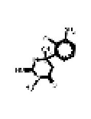 CN1C(=N)N[C@](C)(c2cccc(N)c2Cl)CC1=O